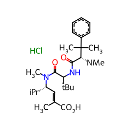 CN[C@H](C(=O)N[C@H](C(=O)N(C)[C@H](C=C(C)C(=O)O)C(C)C)C(C)(C)C)C(C)(C)c1ccccc1.Cl